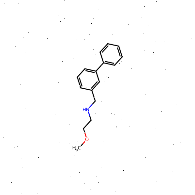 COCCNCc1[c]ccc(-c2ccccc2)c1